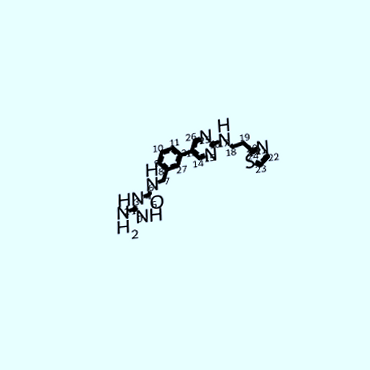 N=C(N)NC(=O)NCc1cccc(-c2cnc(NCCc3nccs3)nc2)c1